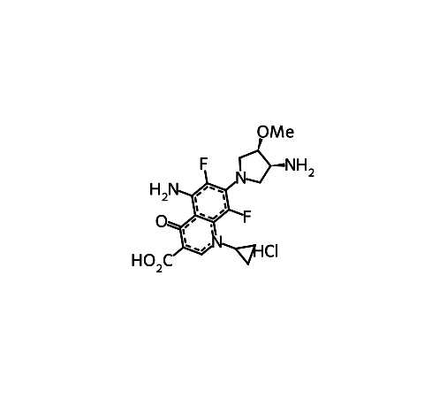 CO[C@@H]1CN(c2c(F)c(N)c3c(=O)c(C(=O)O)cn(C4CC4)c3c2F)C[C@@H]1N.Cl